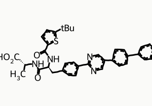 C[C@@H](NC(=O)[C@H](Cc1ccc(-c2ncc(-c3ccc(-c4ccccc4)cc3)cn2)cc1)NC(=O)c1ccc(C(C)(C)C)s1)C(=O)O